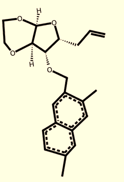 C=CC[C@H]1O[C@@H]2OCCO[C@@H]2[C@H]1OCc1cc2ccc(C)cc2cc1C